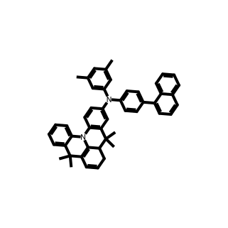 Cc1cc(C)cc(N(c2ccc(-c3cccc4ccccc34)cc2)c2ccc3c(c2)C(C)(C)C2CC=CC4=C2N3c2ccccc2C4(C)C)c1